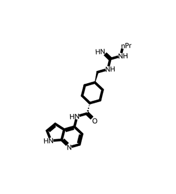 CCCNC(=N)NC[C@H]1CC[C@H](C(=O)Nc2ccnc3[nH]ccc23)CC1